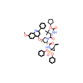 C=CC1CC1(NC(=O)[C@@H]1C[C@@H](Oc2cc(-c3ccccc3)nc3cc(OC)ccc23)CN1C(=O)[C@@H](NC(=O)OC1CCCC1)C(C)(C)C)P(=O)(Oc1ccccc1)Oc1ccccc1